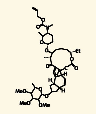 C=CCOC(=O)N(C)[C@H]1CC[C@H](O[C@H]2CCC[C@H](CC)OC(=O)C[C@@H]3C(=C[C@@H]4[C@H]3C=C[C@@H]3C[C@@H](OC5OC(C)C(OC)C(OC)C5OC)C[C@@H]43)C(=O)[C@@H]2C)OC1C